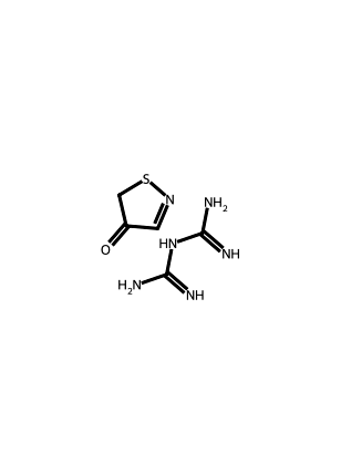 N=C(N)NC(=N)N.O=C1C=NSC1